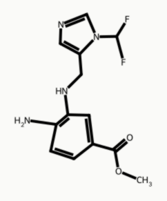 COC(=O)c1ccc(N)c(NCc2cncn2C(F)F)c1